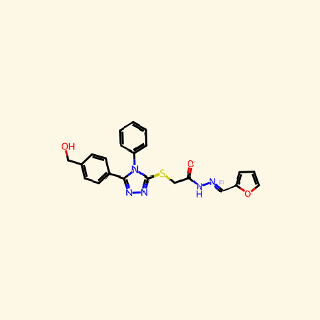 O=C(CSc1nnc(-c2ccc(CO)cc2)n1-c1ccccc1)N/N=C/c1ccco1